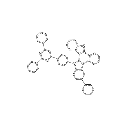 c1ccc(-c2ccc3c(c2)c2c4ccccc4c4sc5ccccc5c4c2n3-c2ccc(-c3cc(-c4ccccc4)nc(-c4ccccc4)n3)cc2)cc1